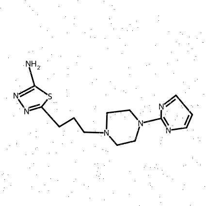 Nc1nnc(CCCN2CCN(c3ncccn3)CC2)s1